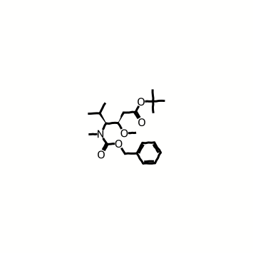 CO[C@H](CC(=O)OC(C)(C)C)[C@H](C(C)C)N(C)C(=O)OCc1ccccc1